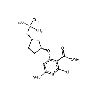 COC(=O)c1c(Cl)nc(SC)nc1O[C@H]1CC[C@@H](O[Si](C)(C)C(C)(C)C)C1